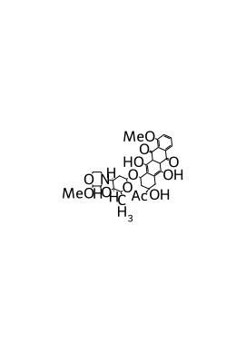 COc1cccc2c1C(=O)C1C(O)=C3C(=C(O)C1C2=O)C[C@@](O)(C(C)=O)C[C@@H]3O[C@H]1C[C@H]2[C@H](O[C@@H]3[C@@H](OC)OCCN32)[C@H](C)O1